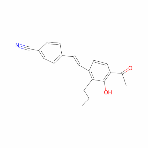 CCCc1c(/C=C/c2ccc(C#N)cc2)ccc(C(C)=O)c1O